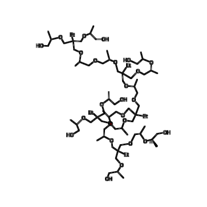 CCC(COCC(C)OCC(C)OCC(CC)(COCC(C)O[C@H](C)CO)COC(C)CO)(COCC(C)OCC(CC)(COCC(C)OC(C)CO)COC(C)COCC(C)OCC(CC)(COC(C)CO)COC(C)CO)COC(C)COCC(CC)(COC(C)CO)COC(C)CO